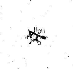 C#C[C@]1(O)C(=O)N(C)[C@@H]2C[C@@H]21